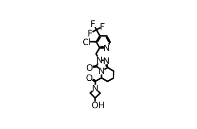 O=C(C1CCCc2nn(Cc3nccc(C(F)(F)F)c3Cl)c(=O)n21)N1CC(O)C1